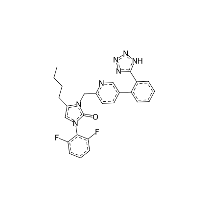 CCCCc1cn(-c2c(F)cccc2F)c(=O)n1Cc1ccc(-c2ccccc2-c2nnn[nH]2)cn1